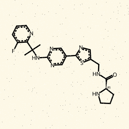 CC(C)(Nc1ncc(-c2ncc(CNC(=O)[C@H]3CCCN3)s2)cn1)c1ncccc1F